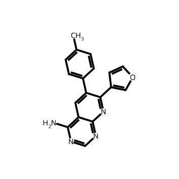 Cc1ccc(-c2cc3c(N)ncnc3nc2-c2ccoc2)cc1